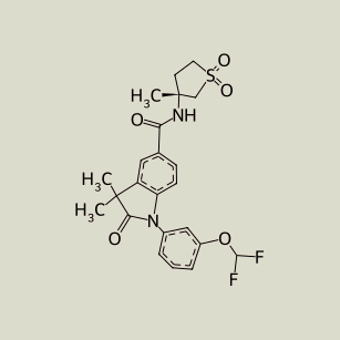 CC1(C)C(=O)N(c2cccc(OC(F)F)c2)c2ccc(C(=O)N[C@]3(C)CCS(=O)(=O)C3)cc21